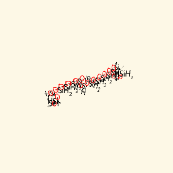 CCC(C)O[SiH](O[SiH2]O[SiH2]O[SiH2]O[SiH]1O[C@@H](C)C[SiH](C)O[SiH](C)O1)O[SiH](C)O[SiH2]O[SiH2]O[SiH2]O[SiH2]O[SiH]1O[SiH](C)O[SiH2][C@@H](C)[SiH](C)O1